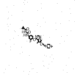 Cc1c(OCCN2CCN(C)CC2)cn2ncnc(Oc3ccc(NC(=O)NC(=O)C4CC4)cc3F)c12